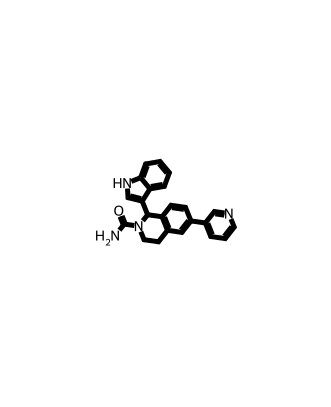 NC(=O)N1CCc2cc(-c3cccnc3)ccc2C1c1c[nH]c2ccccc12